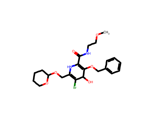 COCCNC(=O)C1=C(OCc2ccccc2)C(O)C(Br)=C(COC2CCCCO2)N1